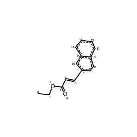 CCOC(=O)C=Cc1ccc2ccccc2c1